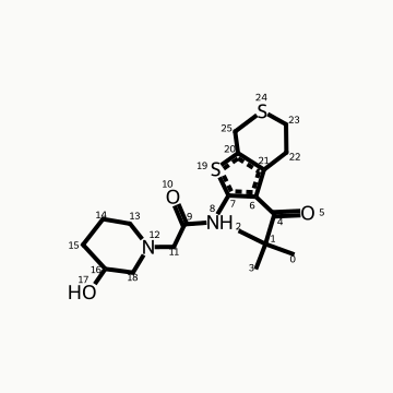 CC(C)(C)C(=O)c1c(NC(=O)CN2CCCC(O)C2)sc2c1CCSC2